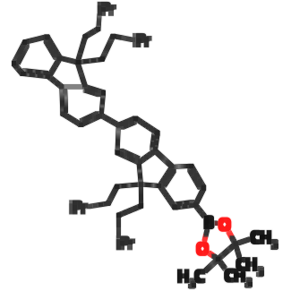 CC(C)CCC1(CCC(C)C)c2ccccc2-c2ccc(-c3ccc4c(c3)C(CCC(C)C)(CCC(C)C)c3cc(B5OC(C)(C)C(C)(C)O5)ccc3-4)cc21